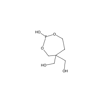 OCC1(CO)CCOP(O)OC1